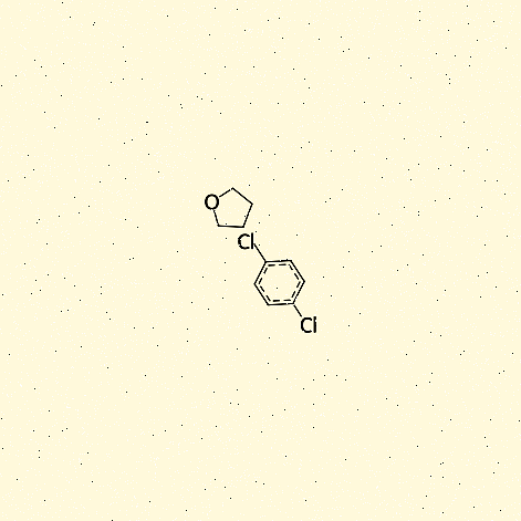 C1CCOC1.Clc1ccc(Cl)cc1